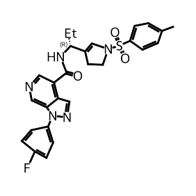 CC[C@@H](NC(=O)c1cncc2c1cnn2-c1ccc(F)cc1)C1=CN(S(=O)(=O)c2ccc(C)cc2)CC1